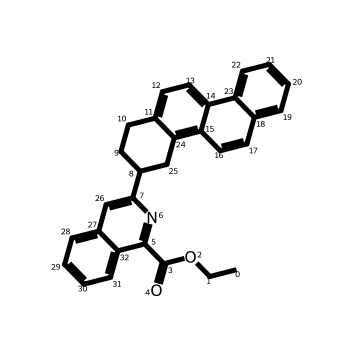 CCOC(=O)c1nc(C2CCc3ccc4c(ccc5ccccc54)c3C2)cc2ccccc12